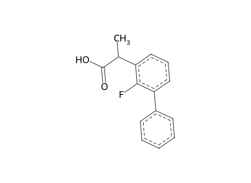 CC(C(=O)O)c1cccc(-c2ccccc2)c1F